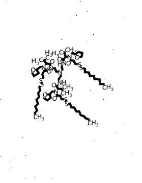 CCCCCCCCCCSSCCC(=O)N(CC1CCCO1)C(C(=O)NCCN(CCNC(=O)C(C(C)C)N(CC1CCCO1)C(=O)CCSSCCCCCCCCCC)CCNC(=O)C(C(C)C)N(CC1CCCO1)C(=O)CCSSCCCCCCCCCC)C(C)C